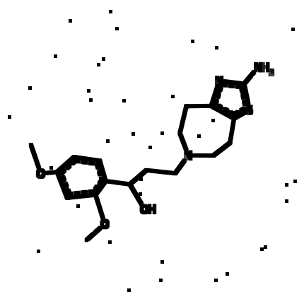 COc1ccc(C(O)CCN2CCc3nc(N)sc3CC2)c(OC)c1